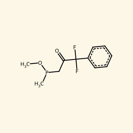 COP(C)CC(=O)C(F)(F)c1ccccc1